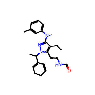 CCc1c(Nc2cccc(C)c2)nn(C(C)C2=CCCC=C2)c1CCNC=O